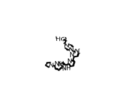 N=C(/C=C\c1ncc(-c2cccc(-c3ccnc(N4CCN(CCO)CC4)n3)n2)[nH]1)N1CCCC1